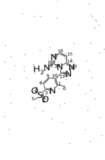 Cc1nc(S(C)(=O)=O)ccc1-c1nnc2ccnc(N)n12